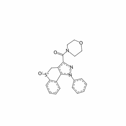 O=C(c1nn(-c2ccccc2)c2c1C[S+]([O-])c1ccccc1-2)N1CCOCC1